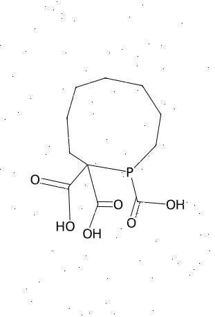 O=C(O)P1CCCCCCCC1(C(=O)O)C(=O)O